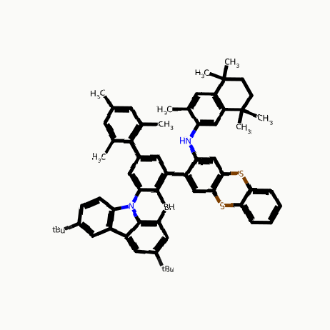 Cc1cc(C)c(-c2cc(-c3cc4c(cc3Nc3cc5c(cc3C)C(C)(C)CCC5(C)C)Sc3ccccc3S4)c3c(c2)-n2c4ccc(C(C)(C)C)cc4c4cc(C(C)(C)C)cc(c42)B3)c(C)c1